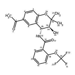 CC(=O)c1ccc2c(c1)[C@@H](NC(=O)c1ccccc1OC(F)(F)F)[C@H](O)C(C)(C)O2